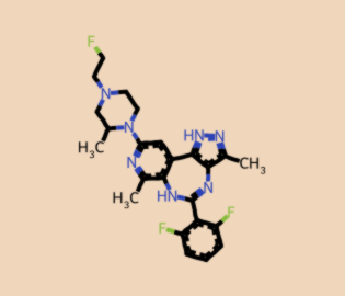 Cc1n[nH]c2c1N=C(c1c(F)cccc1F)Nc1c-2cc(N2CCN(CCF)CC2C)nc1C